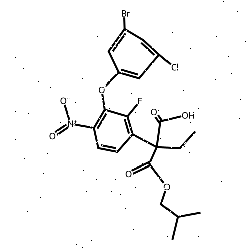 CCC(C(=O)O)(C(=O)OCC(C)C)c1ccc([N+](=O)[O-])c(Oc2cc(Cl)cc(Br)c2)c1F